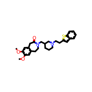 COc1cc2c(cc1OC)CC(=O)N(CC1CCCN(CCc3cc4ccccc4s3)C1)CC2